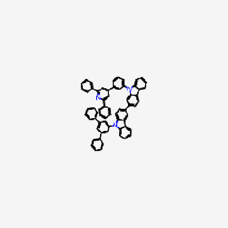 c1ccc(-c2cc(-c3ccccc3)cc(-n3c4ccccc4c4cc(-c5ccc6c7ccccc7n(-c7cccc(-c8cc(-c9ccccc9)nc(-c9ccccc9)c8)c7)c6c5)ccc43)c2)cc1